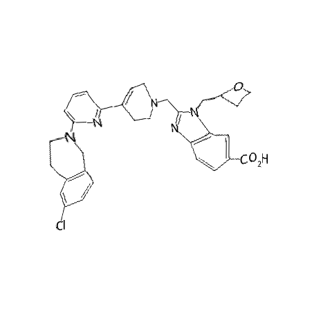 O=C(O)c1ccc2nc(CN3CC=C(c4cccc(N5CCc6cc(Cl)ccc6C5)n4)CC3)n(CC3CCO3)c2c1